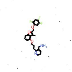 Cc1c(COc2cc(F)c(F)cc2F)oc2cccc(OCCCc3ncccc3CN)c12